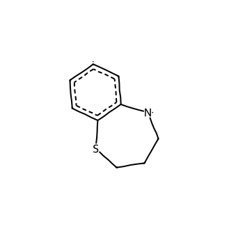 [c]1ccc2c(c1)[N]CCCS2